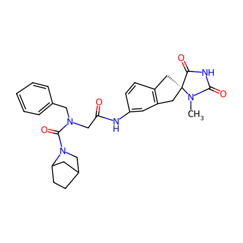 CN1C(=O)NC(=O)[C@@]12Cc1ccc(NC(=O)CN(Cc3ccccc3)C(=O)N3CC4CCC3C4)cc1C2